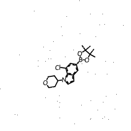 CC1(C)OB(c2cc(Cl)c3c(ccn3C3CCOCC3)c2)OC1(C)C